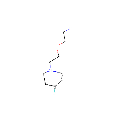 NCCOCCN1CCC(F)CC1